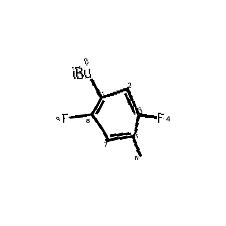 CCC(C)c1cc(F)c(C)cc1F